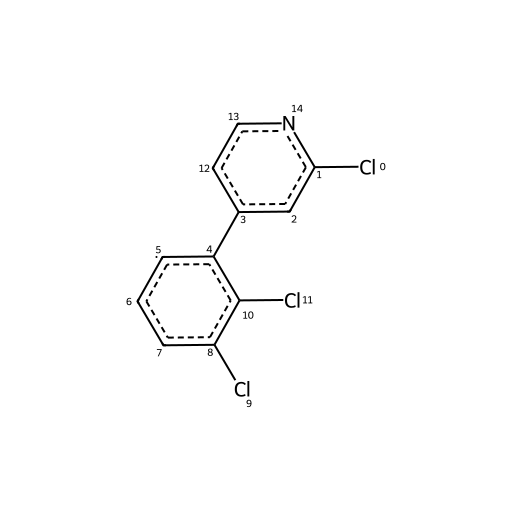 Clc1cc(-c2[c]ccc(Cl)c2Cl)ccn1